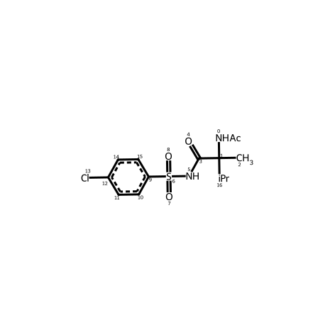 CC(=O)NC(C)(C(=O)NS(=O)(=O)c1ccc(Cl)cc1)C(C)C